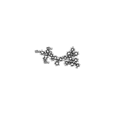 CC(C)(C)c1ccc(N2c3cc4sc(C(C)(C)C)cc4cc3B3c4cc5c(cc4Oc4cc(C(C)(C)C)cc2c43)-c2ccc(N(c3ccccc3)c3ccc(-c4ccc(N6c7cc8c(cc7B7c9oc%10ccccc%10c9N(c9ccccc9)c9cccc6c97)B6c7ccccc7N(c7ccccc7)c7cccc(c76)N8c6ccccc6)cc4)cc3)cc2C5(C)C)cc1